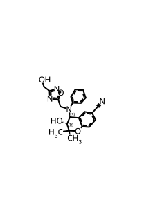 CC1(C)Oc2ccc(C#N)cc2[C@H](N(Cc2nc(CO)no2)c2ccccc2)[C@H]1O